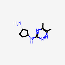 Cc1nnc(N[C@H]2CC[C@H](N)C2)nc1C